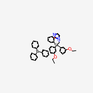 CCOc1cccc([Si](Cn2ccnc2)(c2ccccc2)c2cccc(OCC)c2)c1.c1ccc(B(c2ccccc2)c2ccccc2)cc1